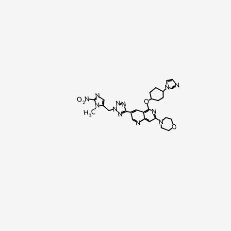 Cn1c(Cn2nnc(-c3cnc4cc(N5CCOCC5)nc(OC5CCC(n6ccnc6)CC5)c4c3)n2)cnc1[N+](=O)[O-]